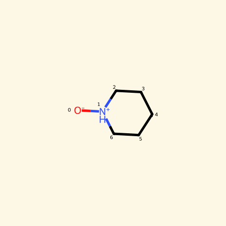 [O-][NH+]1CC[CH]CC1